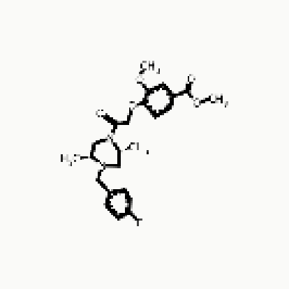 COC(=O)c1ccc(OCC(=O)N2C[C@H](C)N(Cc3ccc(F)cc3)C[C@H]2C)c(OC)c1